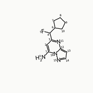 Nc1cc(C(F)C2CCCC2)nc2ccnn12